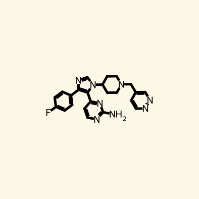 Nc1nccc(-c2c(-c3ccc(F)cc3)ncn2C2CCN(Cc3ccnnc3)CC2)n1